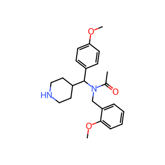 COc1ccc(C(C2CCNCC2)N(Cc2ccccc2OC)C(C)=O)cc1